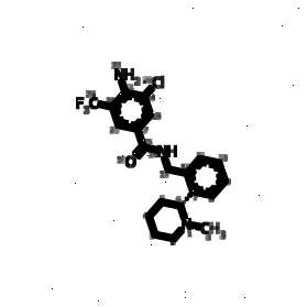 CN1CCCC[C@@H]1c1ccccc1CNC(=O)c1cc(Cl)c(N)c(C(F)(F)F)c1